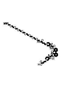 Cn1c(C(=O)Nc2cccc(-c3cccc(NC(=O)c4nc5c(n4C)CCN(CCCC(=O)NCCOCCOCCOCCOCCOCCOCCOCCOCCN=[N+]=[N-])C5)c3Cl)c2Cl)nc2c1CCN(CCCC(=O)O)C2